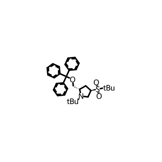 CC(C)(C)N1C[C@H](S(=O)(=O)C(C)(C)C)C[C@H]1COC(c1ccccc1)(c1ccccc1)c1ccccc1